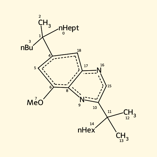 CCCCCCCC(C)(CCCC)c1cc(OC)c2nc(C(C)(C)CCCCCC)cnc2c1